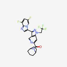 O=C(c1cc2c(cn1)c(-c1cnc3c(F)cc(F)cn13)nn2CC(F)(F)F)N1C2CCCC1CC2